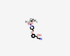 CC(C)(C)OC(=O)N1CCC(COc2cccc(C(O)CC#N)c2)CC1